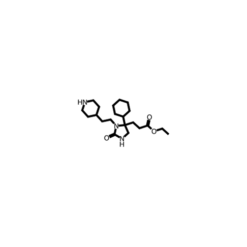 CCOC(=O)CCC1(C2CCCCC2)CNC(=O)N1CCC1CCNCC1